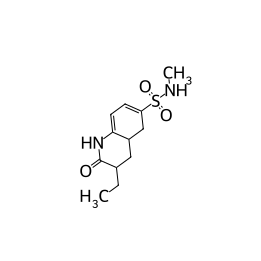 CCC1CC2CC(S(=O)(=O)NC)=CC=C2NC1=O